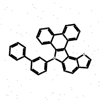 c1ccc(-c2cccc(-n3c4ccc5ccsc5c4c4c5ccccc5c5ccccc5c43)c2)cc1